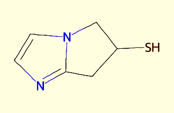 SC1Cc2nccn2C1